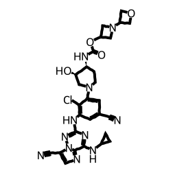 N#Cc1cc(Nc2nc(NC3CC3)c3ncc(C#N)n3n2)c(Cl)c(N2CC[C@@H](NC(=O)OC3CN(C4COC4)C3)[C@H](O)C2)c1